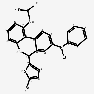 CCN(c1ccccc1)c1ccc2c(c1)C(c1ccc(Br)s1)Oc1cccc(OC(F)F)c1-2